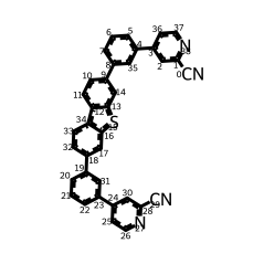 N#Cc1cc(-c2cccc(-c3ccc4c(c3)sc3cc(-c5cccc(-c6ccnc(C#N)c6)c5)ccc34)c2)ccn1